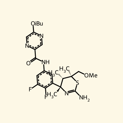 COC[C@@]1(C)SC(N)=N[C@](C)(c2cc(NC(=O)c3cnc(OCC(C)C)cn3)cc(F)c2F)[C@@H]1C